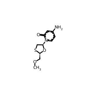 COC[C@@H]1O[C@H](n2ccc(N)cc2=O)CS1